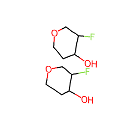 OC1CCOCC1F.OC1CCOCC1F